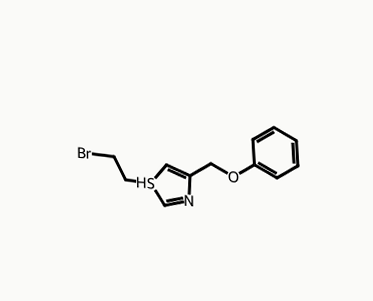 BrCC[SH]1C=NC(COc2ccccc2)=C1